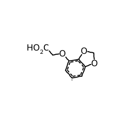 O=C(O)COc1c[c]cc2c1OCO2